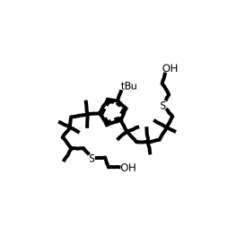 CC(CSCCO)CC(C)(C)CC(C)(C)c1cc(C(C)(C)C)cc(C(C)(C)CC(C)(C)CC(C)(C)CSCCO)c1